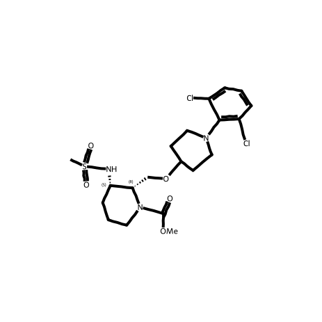 COC(=O)N1CCC[C@H](NS(C)(=O)=O)[C@@H]1COC1CCN(c2c(Cl)cccc2Cl)CC1